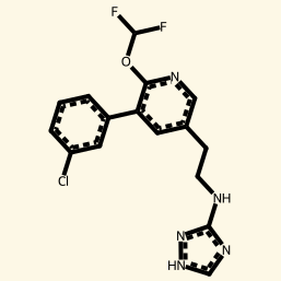 FC(F)Oc1ncc(CCNc2nc[nH]n2)cc1-c1cccc(Cl)c1